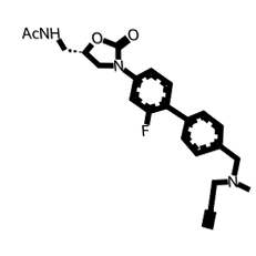 C#CCN(C)Cc1ccc(-c2ccc(N3C[C@H](CNC(C)=O)OC3=O)cc2F)cc1